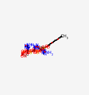 CCCCCCCCCCCCCCCCCC(=O)OCCSP(=O)(O)O[C@H]1C(OC)[C@@H](COP(O)(=S)O[C@H]2C(O)[C@@H](COP(O)(=S)O[C@H]3C(OC)[C@@H](COP(=O)(O)OCCO)O[C@H]3n3cnc4c(N)ncnc43)O[C@H]2n2cnc3c(N)ncnc32)O[C@H]1n1cnc2c(N)ncnc21